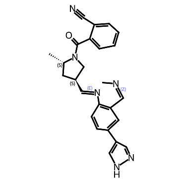 C/N=C\c1cc(-c2cn[nH]c2)ccc1/N=C/[C@H]1C[C@H](C)N(C(=O)c2ccccc2C#N)C1